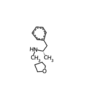 C1CCOC1.CN[C@@H](C)Cc1ccccc1